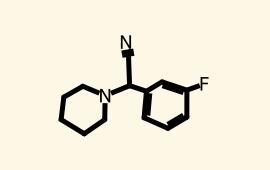 N#CC(c1cccc(F)c1)N1CCCCC1